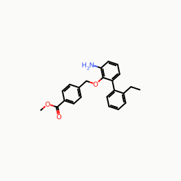 CCc1ccccc1-c1cccc(N)c1OCc1ccc(C(=O)OC)cc1